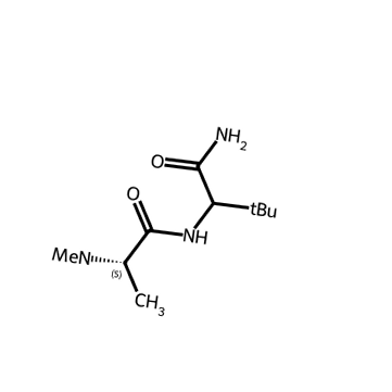 CN[C@@H](C)C(=O)NC(C(N)=O)C(C)(C)C